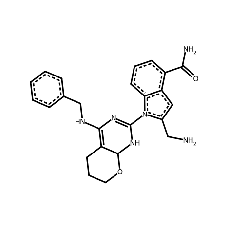 NCc1cc2c(C(N)=O)cccc2n1C1=NC(NCc2ccccc2)=C2CCCOC2N1